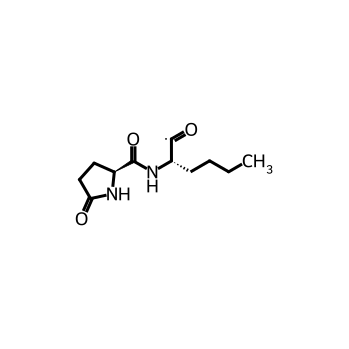 CCCC[C@@H]([C]=O)NC(=O)[C@@H]1CCC(=O)N1